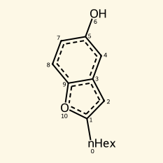 CCCCCCc1cc2cc(O)ccc2o1